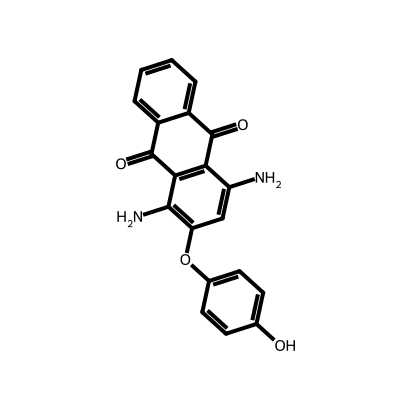 Nc1cc(Oc2ccc(O)cc2)c(N)c2c1C(=O)c1ccccc1C2=O